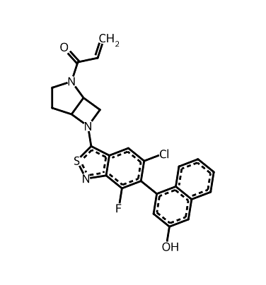 C=CC(=O)N1CCC2C1CN2c1snc2c(F)c(-c3cc(O)cc4ccccc34)c(Cl)cc12